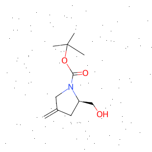 C=C1C[C@H](CO)N(C(=O)OC(C)(C)C)C1